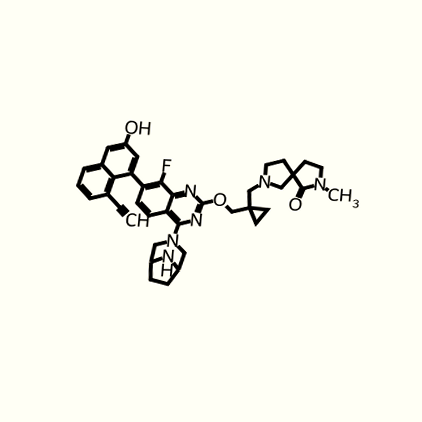 C#Cc1cccc2cc(O)cc(-c3ccc4c(N5CC6CCC(C5)N6)nc(OCC5(CN6CCC7(CCN(C)C7=O)C6)CC5)nc4c3F)c12